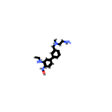 CCNc1cc(-c2cccc(CN(C)CCN)c2)ccc1N=O